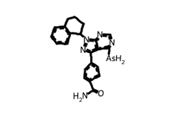 NC(=O)c1ccc(-c2nn(C3CCCc4ccccc43)c3ncnc([AsH2])c23)cc1